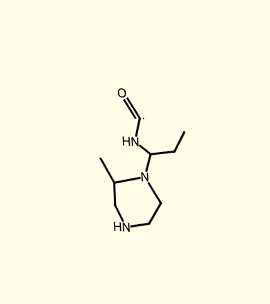 CCC(N[C]=O)N1CCNCC1C